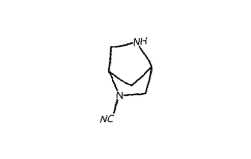 N#CN1CC2CC1CN2